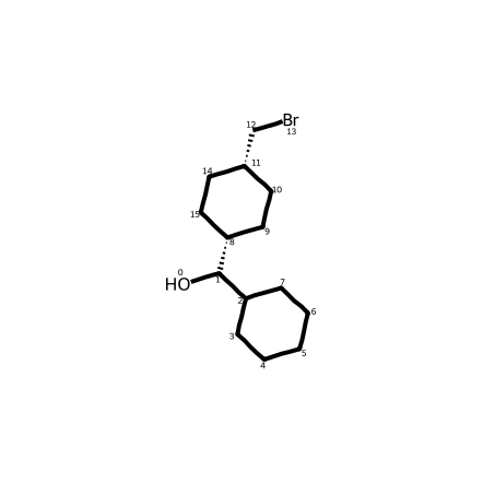 OC(C1CCCCC1)[C@H]1CC[C@@H](CBr)CC1